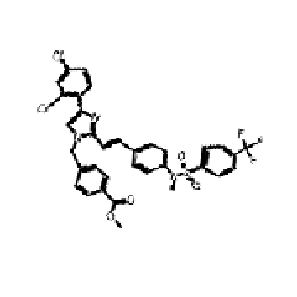 COC(=O)c1ccc(Cn2cc(-c3ccc(Cl)cc3Cl)nc2C=Cc2ccc(N(C)S(=O)(=O)c3ccc(C(F)(F)F)cc3)cc2)cc1